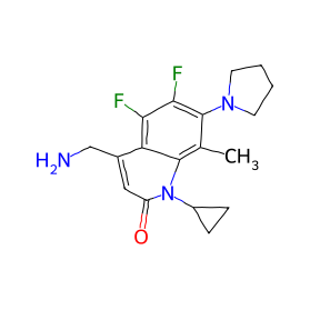 Cc1c(N2CCCC2)c(F)c(F)c2c(CN)cc(=O)n(C3CC3)c12